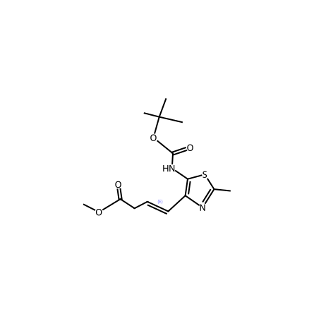 COC(=O)C/C=C/c1nc(C)sc1NC(=O)OC(C)(C)C